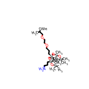 COC(C)COCCOCCC[Si](C)(O[Si](C)(C)O[Si](C)(C)C)O[Si](C)(CCCN)O[Si](C)(C)C